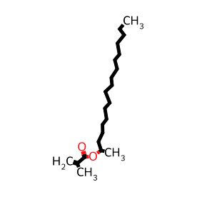 C=C(C)C(=O)OC(C)CCCCCCCCCCCCCCCC